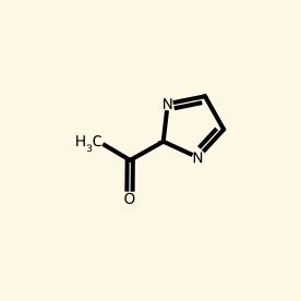 CC(=O)[C]1N=CC=N1